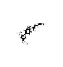 CC(C)(C)[CH]CCC(=O)Nc1ccc(-n2nc(C(F)(F)F)cc2C(F)(F)F)cc1